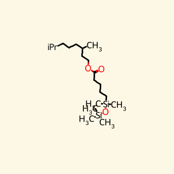 CC(C)CCCC(C)CCOC(=O)CCCC[Si](C)(C)O[Si](C)(C)C